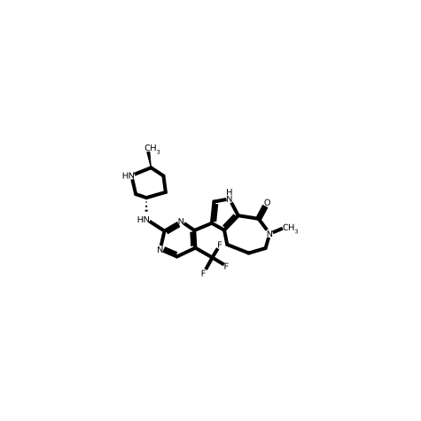 C[C@H]1CC[C@H](Nc2ncc(C(F)(F)F)c(-c3c[nH]c4c3CCCN(C)C4=O)n2)CN1